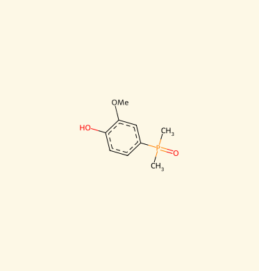 COc1cc(P(C)(C)=O)ccc1O